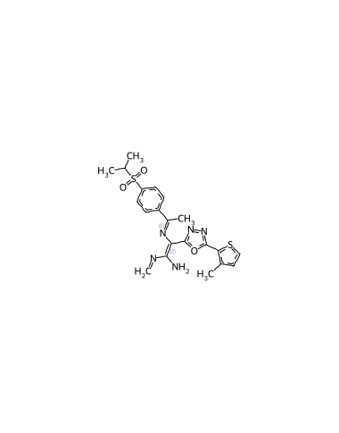 C=N/C(N)=C(\N=C(/C)c1ccc(S(=O)(=O)C(C)C)cc1)c1nnc(-c2sccc2C)o1